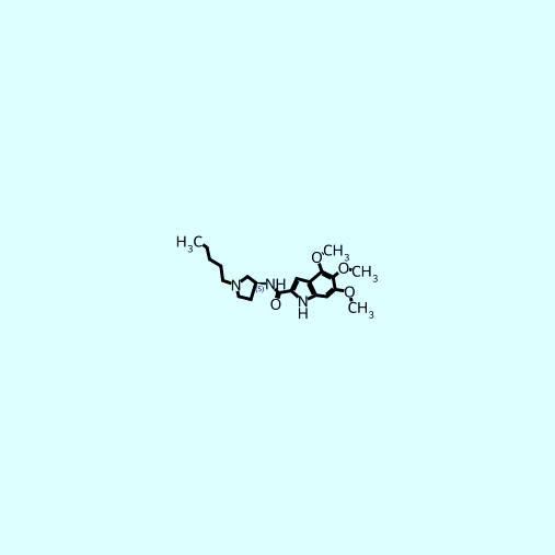 CCCCCN1CC[C@H](NC(=O)c2cc3c(OC)c(OC)c(OC)cc3[nH]2)C1